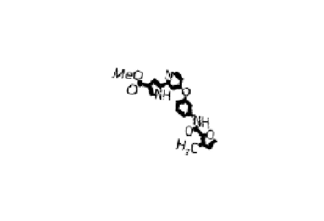 COC(=O)c1c[nH]c(-c2cc(Oc3cccc(NC(=O)c4occc4C)c3)ccn2)c1